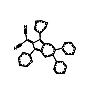 N#CC(C#N)=C1C(c2ccccc2)=c2cc(-c3ccccc3)c(-c3ccccc3)cc2=C1c1ccccc1